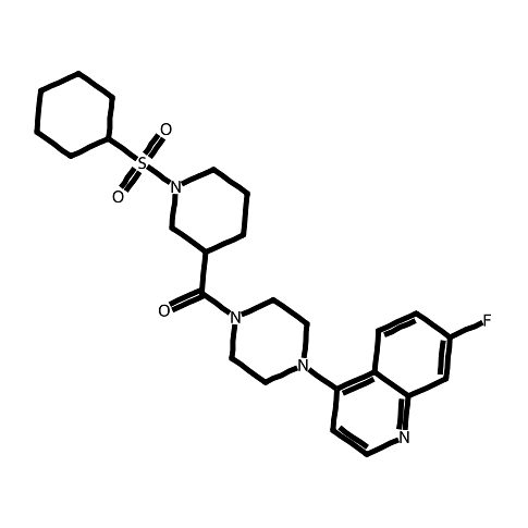 O=C(C1CCCN(S(=O)(=O)C2CCCCC2)C1)N1CCN(c2ccnc3cc(F)ccc23)CC1